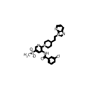 CS(=O)(=O)c1cnc(N2CCC(CCn3cnc4cccnc43)CC2)c(NC(=O)c2cccc(Cl)c2)c1